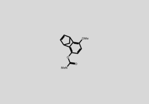 CNC(=O)Oc1ccc(OC)c2c1C1C=CC2C1